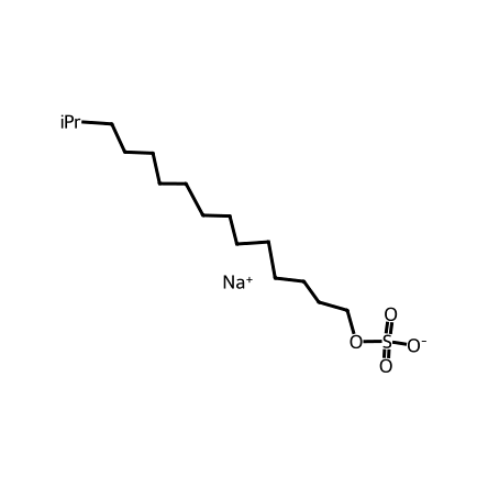 CC(C)CCCCCCCCCCCCCOS(=O)(=O)[O-].[Na+]